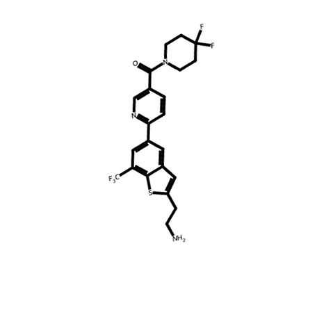 NCCc1cc2cc(-c3ccc(C(=O)N4CCC(F)(F)CC4)cn3)cc(C(F)(F)F)c2s1